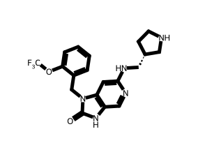 O=c1[nH]c2cnc(NC[C@@H]3CCNC3)cc2n1Cc1ccccc1OC(F)(F)F